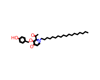 CCCCCCCCCCCCCCCCCCn1ccc(=O)c(OCc2ccc(O)cc2)c1C(C)=O